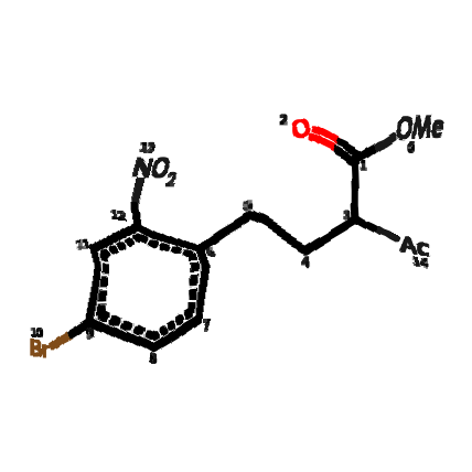 COC(=O)C(CCc1ccc(Br)cc1[N+](=O)[O-])C(C)=O